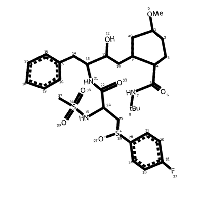 COC1CCC(C(=O)NC(C)(C)C)C(CC(O)C(Cc2ccccc2)NC(=O)C(C[S+]([O-])c2ccc(F)cc2)NS(C)(=O)=O)C1